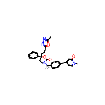 Cc1nnc(CCC2(c3ccccc3)CCN([C@@H](C)c3ccc(-c4ccn(C)c(=O)c4)cc3)C(=O)O2)o1